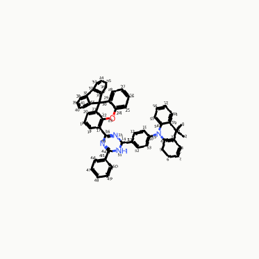 CC1(C)C2=C(CCC=C2)N(c2ccc(C3N=C(c4cccc5c4Oc4ccccc4C54C5=C(C=CCC5)c5ccccc54)N=C(c4ccccc4)N3)cc2)c2ccccc21